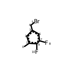 Cc1cc(CBr)cc(F)c1F